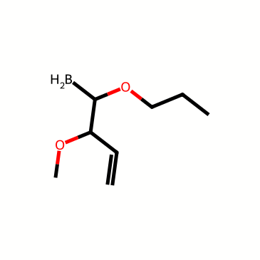 BC(OCCC)C(C=C)OC